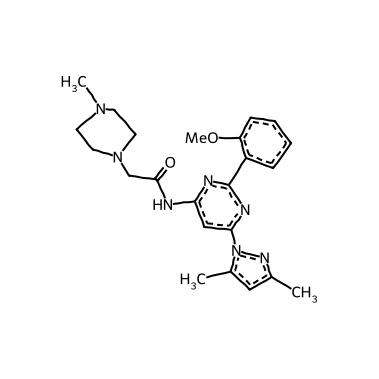 COc1ccccc1-c1nc(NC(=O)CN2CCN(C)CC2)cc(-n2nc(C)cc2C)n1